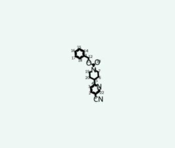 N#Cc1ccc(C2CCN(C(=O)OCc3ccccc3)CC2)nc1